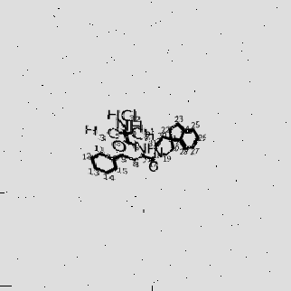 CC(C)(N)C(=O)N[C@H](CCC1CCCCC1)C(=O)N1CCC2(CCc3ccccc32)CC1.Cl